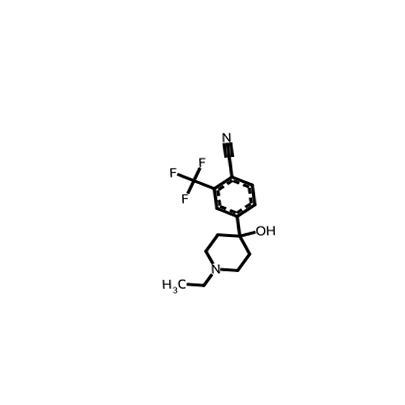 CCN1CCC(O)(c2ccc(C#N)c(C(F)(F)F)c2)CC1